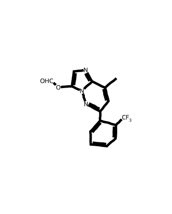 Cc1cc(-c2ccccc2C(F)(F)F)nn2c(OC=O)cnc12